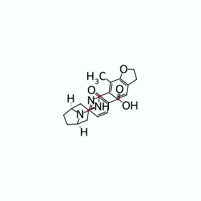 Cc1c(C(=O)N[C@H]2C[C@H]3CC[C@@H](C2)N3c2ccc(C(=O)O)cn2)ccc2c1OCC2